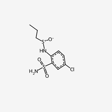 CCC[S+]([O-])Nc1ccc(Cl)cc1S(N)(=O)=O